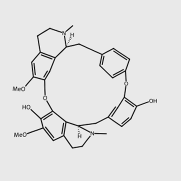 COc1cc2c3cc1Oc1c(O)c(OC)cc4c1[C@@H](Cc1ccc(O)c(c1)Oc1ccc(cc1)C[C@@H]3N(C)CC2)N(C)CC4